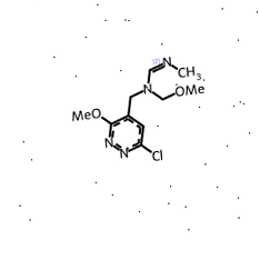 C/N=C\N(COC)Cc1cc(Cl)nnc1OC